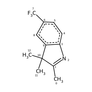 CC1=Nc2ccc(C(F)(F)F)cc2C1(C)C